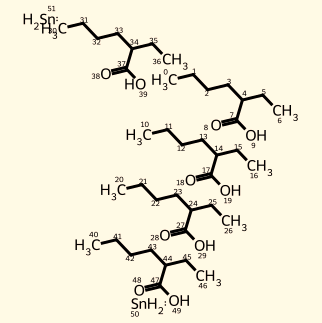 CCCCC(CC)C(=O)O.CCCCC(CC)C(=O)O.CCCCC(CC)C(=O)O.CCCCC(CC)C(=O)O.CCCCC(CC)C(=O)O.[SnH2].[SnH2]